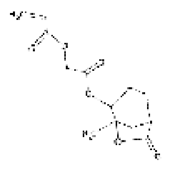 C=CC(=O)OCC(=O)OC1CCC2CC1(C)OC2=O